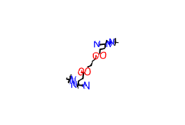 CC(C)(C)N=NC(C)(C#N)CCC(=O)OCCCCOC(=O)CCC(C)(C#N)N=NC(C)(C)C